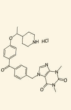 CC(Oc1ccc(C(=O)c2ccc(Cn3cnc4c3c(=O)n(C)c(=O)n4C)cc2)cc1)C1CCNCC1.Cl